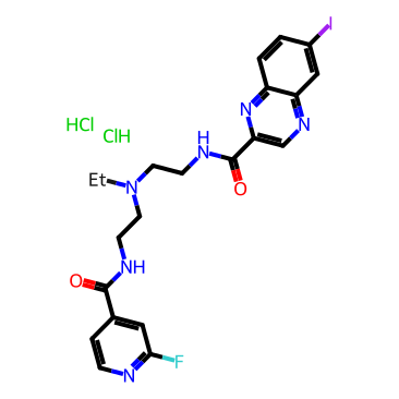 CCN(CCNC(=O)c1ccnc(F)c1)CCNC(=O)c1cnc2cc(I)ccc2n1.Cl.Cl